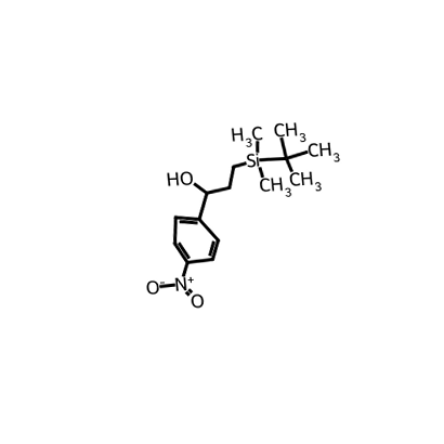 CC(C)(C)[Si](C)(C)CCC(O)c1ccc([N+](=O)[O-])cc1